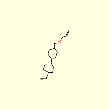 C=CCOC[C@H]1CC[C@H]([C@H]2CC[C@H](C=C)CC2)CC1